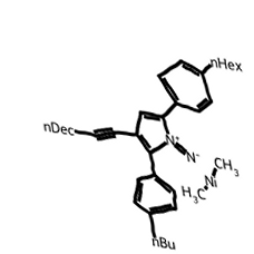 CCCCCCCCCCC#CC1=C(c2ccc(CCCC)cc2)[N+](=[N-])C(c2ccc(CCCCCC)cc2)=C1.[CH3][Ni][CH3]